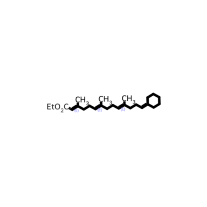 CCOC(=O)/C=C(\C)CC/C=C(\C)CC/C=C(\C)CCC=C1CCCCC1